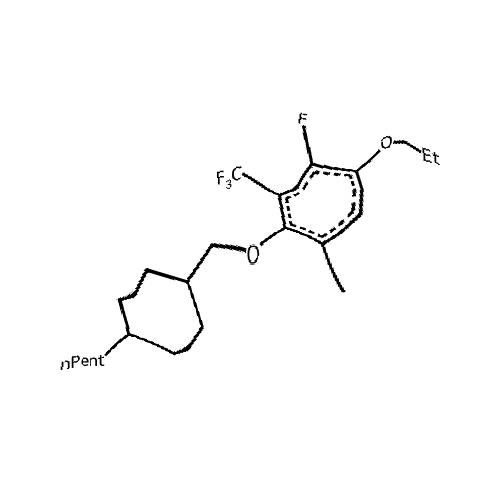 CCCCCC1CCC(COc2c(C)cc(OCC)c(F)c2C(F)(F)F)CC1